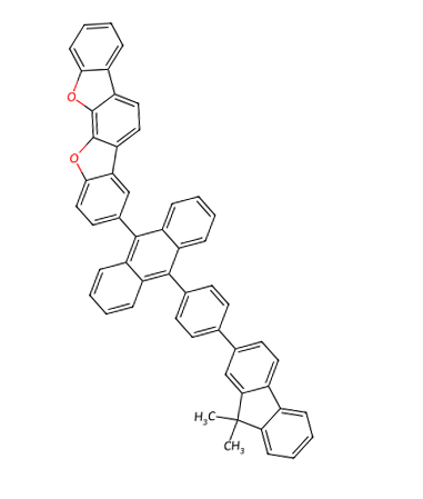 CC1(C)c2ccccc2-c2ccc(-c3ccc(-c4c5ccccc5c(-c5ccc6oc7c(ccc8c9ccccc9oc87)c6c5)c5ccccc45)cc3)cc21